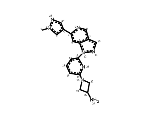 Cn1cc(-c2cc3c(cn2)cnn3-c2cccc(N3CC(N)C3)n2)cn1